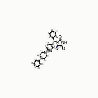 O=C1NC(=O)N(Cc2ccccc2)/C1=C\c1ccnc(N2CCN(c3ccncc3)CC2)n1